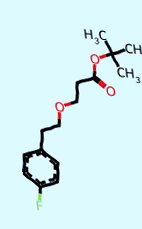 CC(C)(C)OC(=O)CCOCCc1ccc(F)cc1